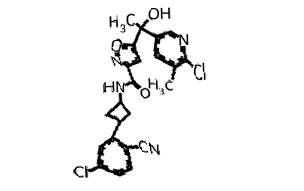 Cc1cc(C(C)(O)c2cc(C(=O)NC3CC(c4cc(Cl)ccc4C#N)C3)no2)cnc1Cl